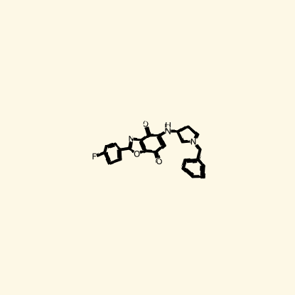 O=C1C(NC2CCN(Cc3ccccc3)C2)=CC(=O)c2oc(-c3ccc(F)cc3)nc21